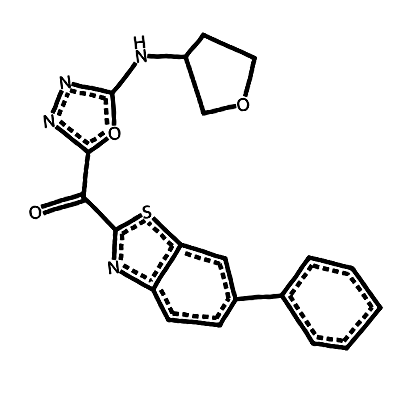 O=C(c1nnc(NC2CCOC2)o1)c1nc2ccc(-c3ccccc3)cc2s1